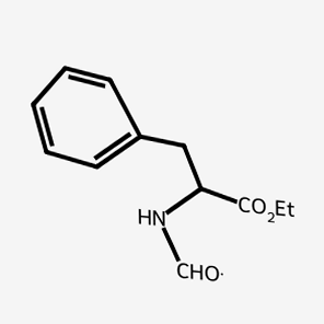 CCOC(=O)C(Cc1ccccc1)N[C]=O